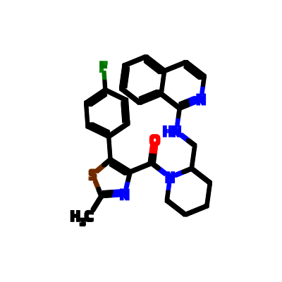 Cc1nc(C(=O)N2CCCCC2CNc2nccc3ccccc23)c(-c2ccc(F)cc2)s1